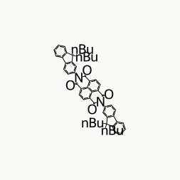 CCCCC1(CCCC)c2ccccc2-c2ccc(N3C(=O)c4ccc5c6c(ccc(c46)C3=O)C(=O)N(c3ccc4c(c3)C(CCCC)(CCCC)c3ccccc3-4)C5=O)cc21